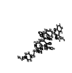 CC(c1ccccc1)N(N)C(=O)c1ccc(Cl)c(NC(=O)c2cc3cnc(NCCN4CCN(C)CC4)nc3[nH]c2=O)c1.Cl